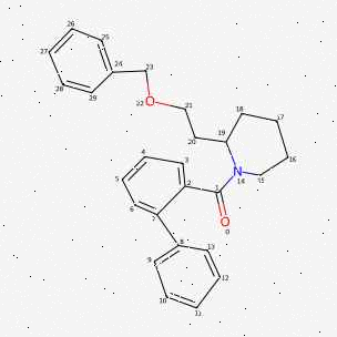 O=C(c1ccccc1-c1ccccc1)N1CCCCC1CCOCc1ccccc1